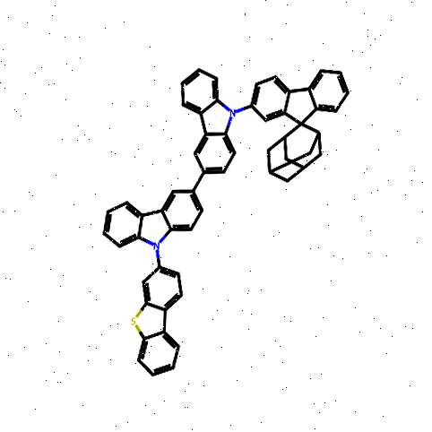 c1ccc2c(c1)-c1ccc(-n3c4ccccc4c4cc(-c5ccc6c(c5)c5ccccc5n6-c5ccc6c(c5)sc5ccccc56)ccc43)cc1C21C2CC3CC(C2)CC1C3